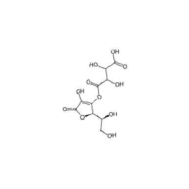 O=C1O[C@H]([C@@H](O)CO)C(OC(=O)C(O)C(O)C(=O)O)=C1O